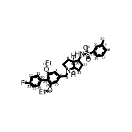 CCOc1cc(CN2CC[C@H]3C(NS(=O)(=O)c4cccc(C)c4)CC[C@H]32)cc(OCC)c1-c1ccc(F)cc1